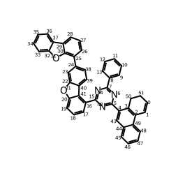 C1=Cc2c(c(-c3nc(-c4ccccc4)nc(-c4cccc5oc6cc(-c7cccc8c7oc7ccccc78)ccc6c45)n3)cc3ccccc23)CC1